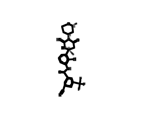 C[C@@H]1C[C@H](N2C(=N)N[C@](C)(c3cccc(NC(=O)c4cc(C#N)cc(C(F)(F)F)c4)c3Cl)CC2=O)CCO1